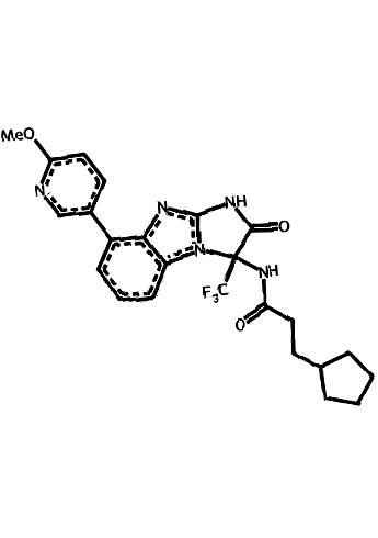 COc1ccc(-c2cccc3c2nc2n3C(NC(=O)CCC3CCCC3)(C(F)(F)F)C(=O)N2)cn1